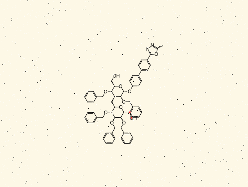 Cc1nnc(-c2ccc(-c3ccc(O[C@H]4O[C@H](CO)[C@@H](OCc5ccccc5)[C@H](C[C@H]5O[C@H](CO)[C@@H](OCc6ccccc6)[C@@H](OCc6ccccc6)[C@@H]5OCc5ccccc5)[C@@H]4OCc4ccccc4)cc3)cc2)o1